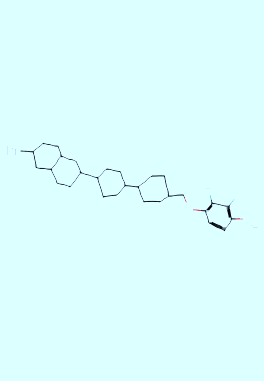 CCCC1CCC2CC(C3CCC(C4CCC(COc5ccc(OCC)c(F)c5F)CC4)CC3)CCC2C1